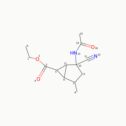 CCOC(=O)C1C2C(C)CC(C#N)(NC(C)=O)C12